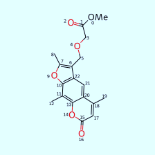 COC(=O)COCc1c(C)oc2c(C)c3oc(=O)cc(C)c3cc12